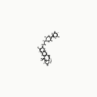 Cc1cc2cc3c(cc2cc1OCCN1CCN(c2ncccn2)CC1)N=C[C@@H]1CCCN1C3=O